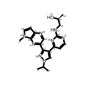 CC(C)n1cc(-c2ccnc(NC[C@H](C)O)n2)c(-c2cnc3ccn(C)c3n2)n1